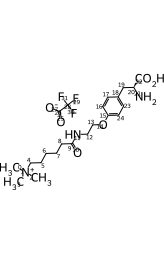 C[N+](C)(C)CCCCCC(=O)NCCOc1ccc(C[C@H](N)C(=O)O)cc1.O=C([O-])C(F)(F)F